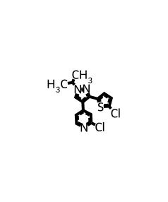 CC(C)n1cc(-c2ccnc(Cl)c2)c(-c2ccc(Cl)s2)n1